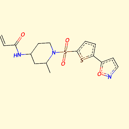 C=CC(=O)NC1CCN(S(=O)(=O)c2ccc(-c3ccno3)s2)C(C)C1